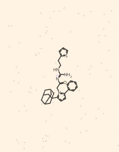 N/C(=N\C(=O)Cn1c(-c2ccccc2)ccc1C12CC3CC(CC(C3)C1)C2)NCCc1cccs1